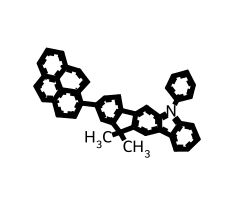 CC1(C)c2cc(-c3ccc4ccc5cccc6ccc3c4c56)ccc2-c2cc3c(cc21)c1ccccc1n3-c1ccccc1